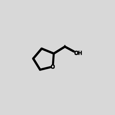 O[CH]C1CCCO1